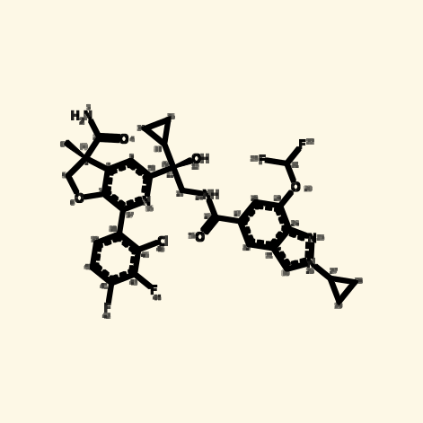 C[C@]1(C(N)=O)COc2c1cc([C@@](O)(CNC(=O)c1cc(OC(F)F)c3nn(C4CC4)cc3c1)C1CC1)nc2-c1ccc(F)c(F)c1Cl